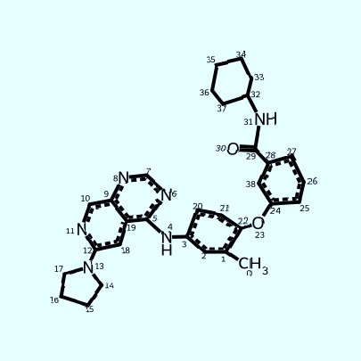 Cc1cc(Nc2ncnc3cnc(N4CCCC4)cc23)ccc1Oc1cccc(C(=O)NC2CCCCC2)c1